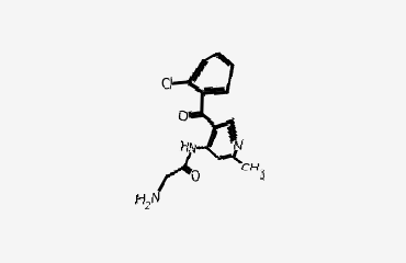 Cc1cc(NC(=O)CN)c(C(=O)c2ccccc2Cl)cn1